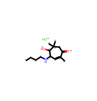 CCCCNC1C=C(C)C(=O)CC(C)(C)C1O.Cl